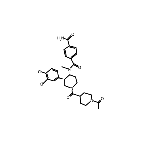 CC(=O)N1CCC(C(=O)N2CC[C@@H](N(C)C(=O)c3ccc(C(N)=O)cc3)[C@H](c3ccc(Cl)c(Cl)c3)C2)CC1